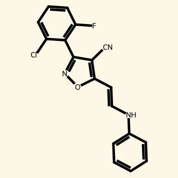 N#Cc1c(-c2c(F)cccc2Cl)noc1/C=C/Nc1ccccc1